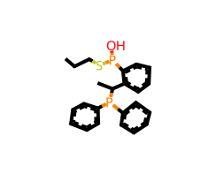 CCCSP(O)c1ccccc1C(C)P(c1ccccc1)c1ccccc1